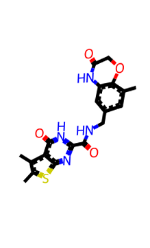 Cc1cc(CNC(=O)c2nc3sc(C)c(C)c3c(=O)[nH]2)cc2c1OCC(=O)N2